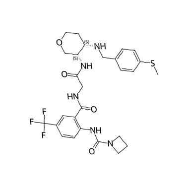 CSc1ccc(CN[C@H]2CCOC[C@H]2NC(=O)CNC(=O)c2cc(C(F)(F)F)ccc2NC(=O)N2CCC2)cc1